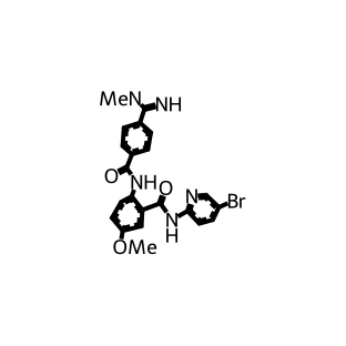 CNC(=N)c1ccc(C(=O)Nc2ccc(OC)cc2C(=O)Nc2ccc(Br)cn2)cc1